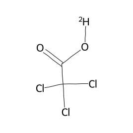 [2H]OC(=O)C(Cl)(Cl)Cl